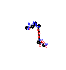 Nc1nccn2c([C@@H]3CCCN3CCOCCOCCOCCNc3cccc4c3C(=O)N(C3CCC(=O)NC3=O)C4=O)nc(-c3ccc(C(=O)Nc4ccccn4)cc3)c12